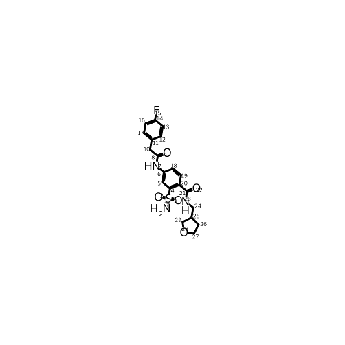 NS(=O)(=O)c1cc(NC(=O)Cc2ccc(F)cc2)ccc1C(=O)NCC1CCOC1